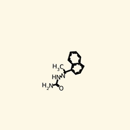 C/C(=N\NC(N)=O)c1cccc2ccccc12